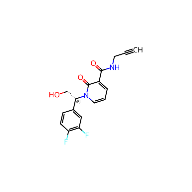 C#CCNC(=O)c1cccn([C@@H](CO)c2ccc(F)c(F)c2)c1=O